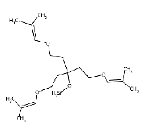 CC(C)=COCCC(CCOC=C(C)C)(CCOC=C(C)C)O[SiH3]